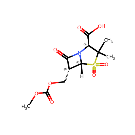 COC(=O)OC[C@@H]1C(=O)N2[C@@H](C(=O)O)C(C)(C)S(=O)(=O)[C@H]12